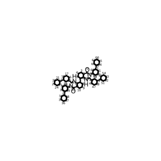 O=C1c2cccc(-c3cccc4c3NC(c3cccc(-c5ccccc5)c3)N(c3cccc(-c5ccccc5)c3)C4=O)c2NC(c2cccc(-c3ccccc3)c2)N1c1cccc(-c2ccccc2)c1